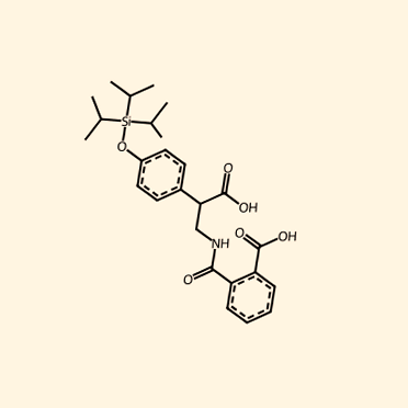 CC(C)[Si](Oc1ccc(C(CNC(=O)c2ccccc2C(=O)O)C(=O)O)cc1)(C(C)C)C(C)C